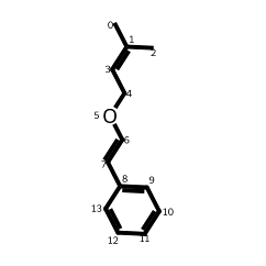 CC(C)=CCO/C=C/c1ccccc1